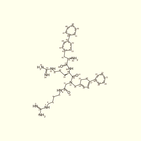 N=C(N)NCCCCNC(=O)CN(CC1=CC=C(c2ccccc2)CC1)C(=O)[C@@H](CCCNC(=N)N)NC(=O)[C@H](N)Cc1ccc(-c2ccccc2)cc1